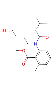 COC(=O)c1c(C)cccc1N(CCCC=O)C(=O)CC(C)C